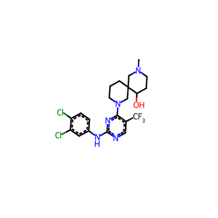 CN1CCC(O)C2(CCCN(c3nc(Nc4ccc(Cl)c(Cl)c4)ncc3C(F)(F)F)C2)C1